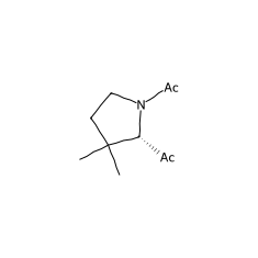 CC(=O)[C@H]1N(C(C)=O)CCC1(C)C